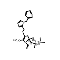 C[SiH](C)O[C@@](C)([C@@H]1C(=O)N2C(C(=O)O)=C(SCc3nccn3Cc3ccccc3)S[C@H]12)C(C)(C)C